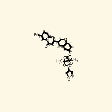 CC1(C)OB(c2cn[nH]c2)OC1(C)COc1ccc2c(c1)CC(c1cc(=O)n3cc(Br)ccc3n1)CO2